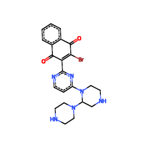 O=C1C(Br)=C(c2nccc(N3CCNCC3N3CCNCC3)n2)C(=O)c2ccccc21